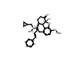 CCCCOc1ccc2c3c1O[C@H]1C(=O)CC[C@](OC/C=C/c4ccccc4)(C31)[C@H](N(CCC)CC1CC1)C2